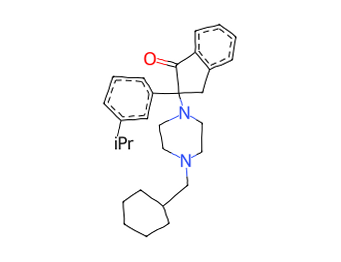 CC(C)c1cccc(C2(N3CCN(CC4CCCCC4)CC3)Cc3ccccc3C2=O)c1